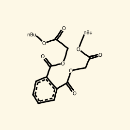 CCCCOC(=O)COC(=O)c1ccccc1C(=O)OCC(=O)OCCCC